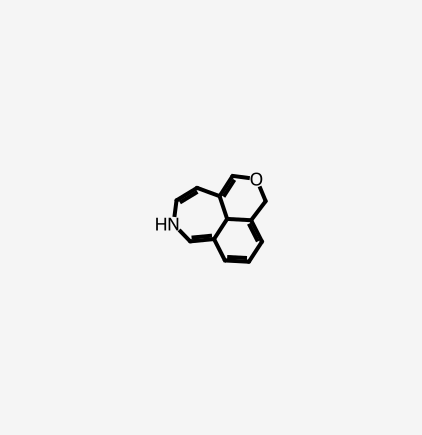 C1=CC2=CNC=CC3=COCC(=C1)C23